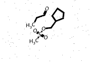 CCC=O.CS(=O)(=O)OCC1CCCC1